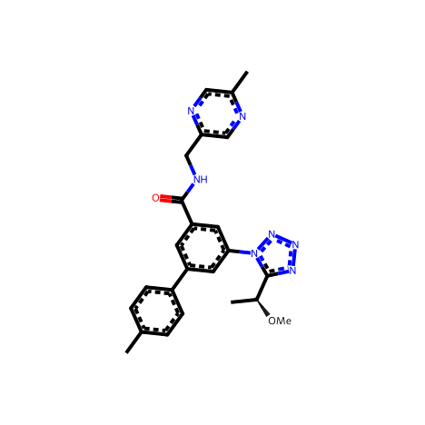 CO[C@@H](C)c1nnnn1-c1cc(C(=O)NCc2cnc(C)cn2)cc(-c2ccc(C)cc2)c1